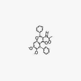 COc1cc2oc(-c3ccccc3)c(NC(C)=O)c(=O)c2c(-c2ccccc2)c1OC